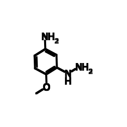 COc1ccc(N)cc1NN